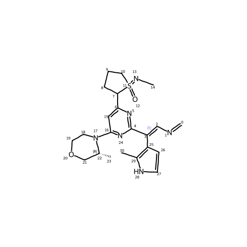 C=N/C=C(/c1nc(C2CCCS2(=O)=NC)cc(N2CCOC[C@H]2C)n1)c1cc[nH]c1C